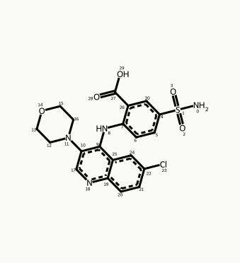 NS(=O)(=O)c1ccc(Nc2c(N3CCOCC3)cnc3ccc(Cl)cc23)c(C(=O)O)c1